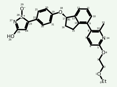 CCOCCOc1ccc(-c2cccc3c2CC[C@H]3Oc2ccc(-c3cc(O)n[s+]3[O-])cc2)c(C)n1